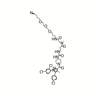 Cc1c(C(=O)N2CCC(NC(=O)NCCC(=O)N(C)CC(=O)NCCCOCCOCCOCCCC#N)CC2)nn(-c2ccc(Cl)cc2Cl)c1-c1ccc(Cl)cc1